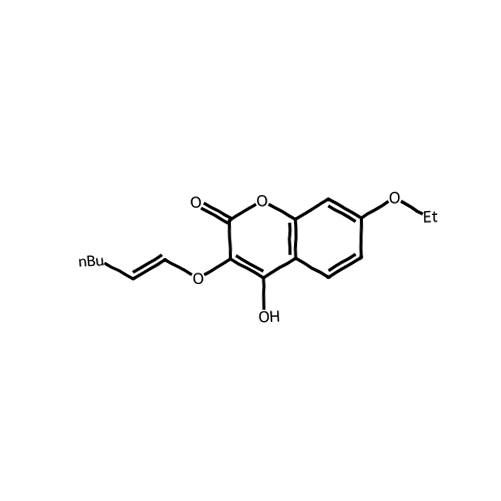 CCCCC=COc1c(O)c2ccc(OCC)cc2oc1=O